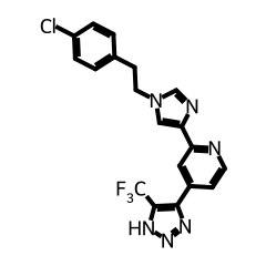 FC(F)(F)c1[nH]nnc1-c1ccnc(-c2cn(CCc3ccc(Cl)cc3)cn2)c1